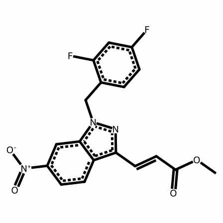 COC(=O)C=Cc1nn(Cc2ccc(F)cc2F)c2cc([N+](=O)[O-])ccc12